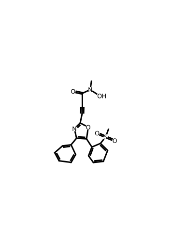 CN(O)C(=O)C#Cc1nc(-c2ccccc2)c(-c2ccccc2S(C)(=O)=O)o1